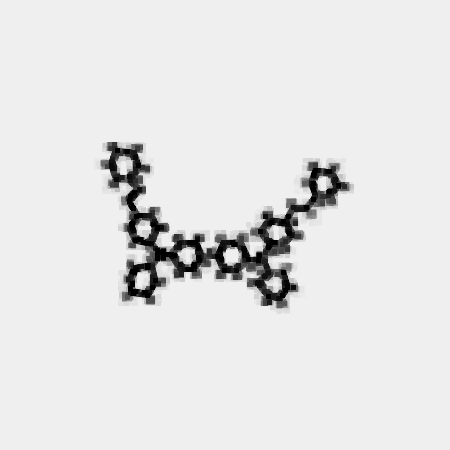 C(=C\c1ccc(N(c2ccccc2)c2ccc(-c3ccc(N(c4ccccc4)c4ccc(/C=C/c5ccccc5)cc4)cc3)cc2)cc1)/c1ccccc1